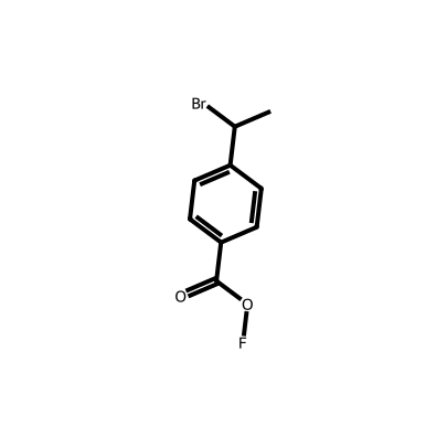 CC(Br)c1ccc(C(=O)OF)cc1